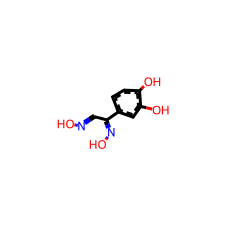 ON=CC(=NO)c1ccc(O)c(O)c1